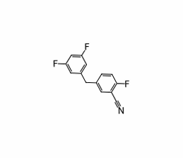 N#Cc1cc(Cc2cc(F)cc(F)c2)ccc1F